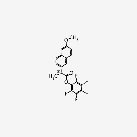 COc1ccc2cc([C@H](C)C(=O)Oc3c(F)c(F)c(F)c(F)c3F)ccc2c1